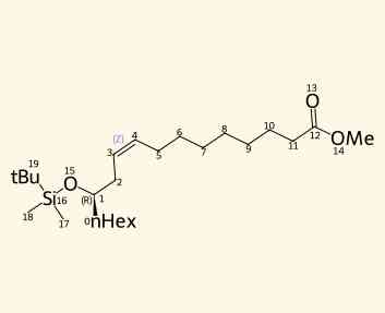 CCCCCC[C@H](C/C=C\CCCCCCCC(=O)OC)O[Si](C)(C)C(C)(C)C